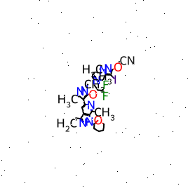 C=Cc1nn(C2CCCCO2)c2c(C)nc(-c3c(C)nn(C)c3OC(CN(C)Cc3c(I)c(OCC#N)nn3C)C(F)F)cc12